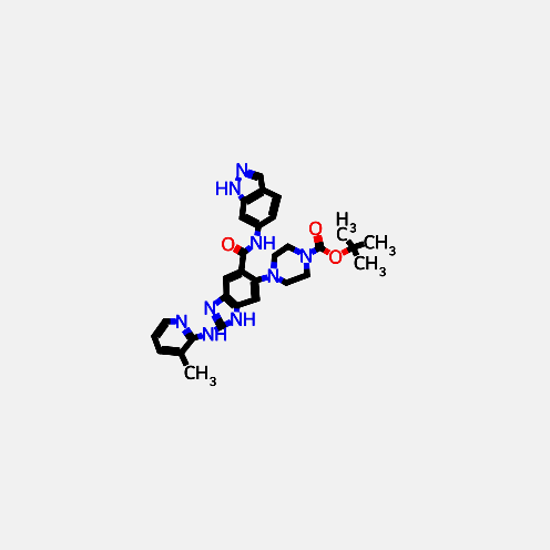 Cc1cccnc1Nc1nc2cc(C(=O)Nc3ccc4cn[nH]c4c3)c(N3CCN(C(=O)OC(C)(C)C)CC3)cc2[nH]1